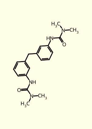 CN(C)C(=O)Nc1cccc(Cc2cccc(NC(=O)N(C)C)c2)c1